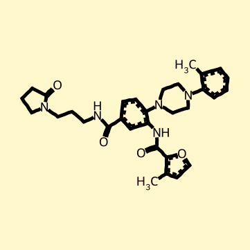 Cc1ccccc1N1CCN(c2ccc(C(=O)NCCCN3CCCC3=O)cc2NC(=O)c2occc2C)CC1